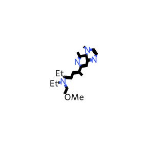 CC/C(=C\C=C(/C)C1=CC2=NC=CN(C)C2C(C)=N1)N(CC)CCOC